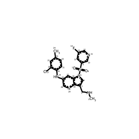 CNCc1cn(S(=O)(=O)c2cncc(F)c2)c2cc(Nc3ccc(C)cc3Cl)cnc12